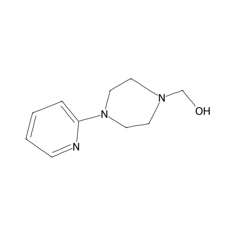 OCN1CCN(c2ccccn2)CC1